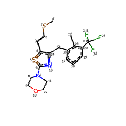 CSCCc1sc(N2CCOCC2)nc1Cc1cccc(C(F)(F)F)c1C